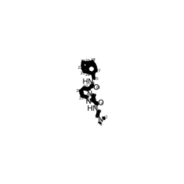 CN(C)CCNC(=O)c1cn2c(C(=O)NCC34CC5CC6CC(C3)C6(C5)C4)cccc2n1